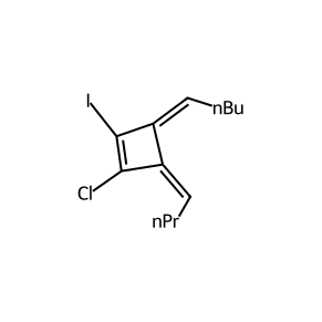 CCC/C=C1C(Cl)=C(I)C\1=C\CCCC